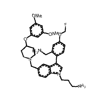 COc1cc(OC)cc(OC2CCN(Cc3ccc4c(c3)c(-c3ccc(OCF)cc3CN)cn4CCCN)CC2)c1